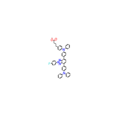 COC(=O)CCCc1ccc(N(c2ccccc2)c2ccc(-c3ccc(-c4ccc(N(c5ccccc5)c5ccccc5)cc4)c4nn(-c5ccc(F)cc5)nc34)cc2)cc1